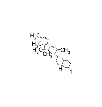 C=C/C=C\C1=C(C)C(C)(C)C2CC(C3CC[C@H]4CC(I)CCC4C3)[C@H](C)C=C12